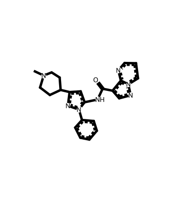 CN1CCC(c2cc(NC(=O)c3cnn4cccnc34)n(-c3ccccc3)n2)CC1